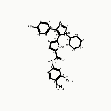 Cc1ccc(NC(=O)c2ccc(-c3c(-c4ccc(F)cc4)ncn3C3CCCCC3)o2)cc1C